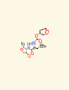 CCC1OCC(=O)C1NC(=O)[C@H](CC(C)(C)C)NC(=O)Oc1ccoc1